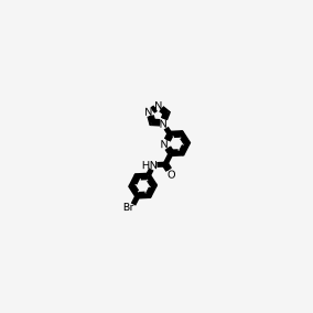 O=C(Nc1ccc(Br)cc1)c1cccc(-n2cnnc2)n1